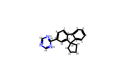 c1ccc2c(c1)-c1ccc(-c3ncncn3)cc1C21CCCC1